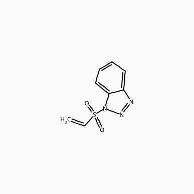 C=CS(=O)(=O)n1nnc2ccccc21